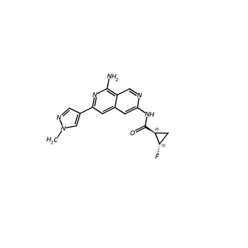 Cn1cc(-c2cc3cc(NC(=O)[C@H]4C[C@@H]4F)ncc3c(N)n2)cn1